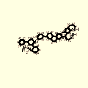 Cc1cc2c(c3c1C(c1ccc4c(c1)CCC1C=C(C5CC=CC(CC6=C(C7CCC=CC7N)C(S)C(c7ccccc7)C=C6)C5)CCC41)=CCCN3)NCCC2